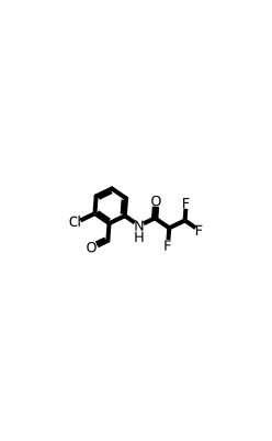 O=Cc1c(Cl)cccc1NC(=O)C(F)C(F)F